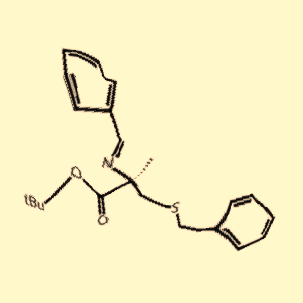 CC(C)(C)OC(=O)[C@](C)(CSCc1ccccc1)N=Cc1ccccc1